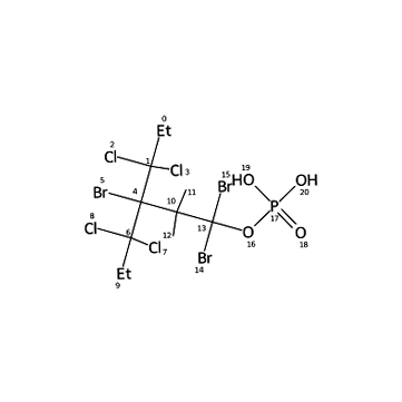 CCC(Cl)(Cl)C(Br)(C(Cl)(Cl)CC)C(C)(C)C(Br)(Br)OP(=O)(O)O